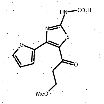 COCCC(=O)c1sc(NC(=O)O)nc1-c1ccco1